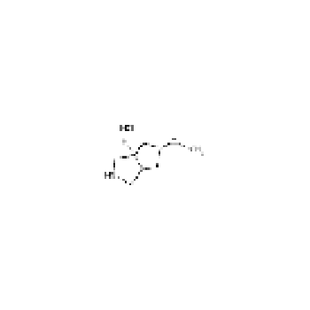 COC1CC2CNC[C@H]2C1.Cl